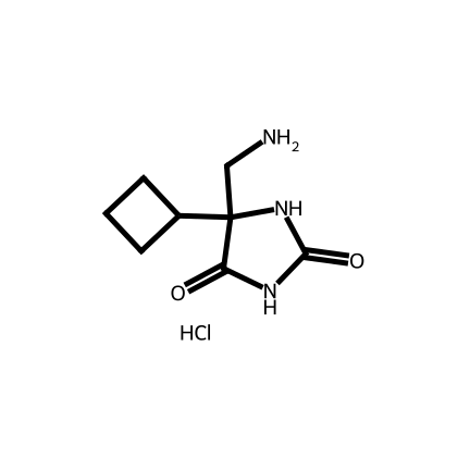 Cl.NCC1(C2CCC2)NC(=O)NC1=O